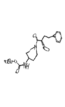 CC(C)(C)OC(=O)NC1CCN(C(=O)C(=O)Cc2ccccc2)CC1